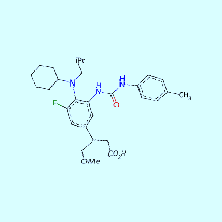 COCC(CC(=O)O)c1cc(F)c(N(CC(C)C)C2CCCCC2)c(NC(=O)Nc2ccc(C)cc2)c1